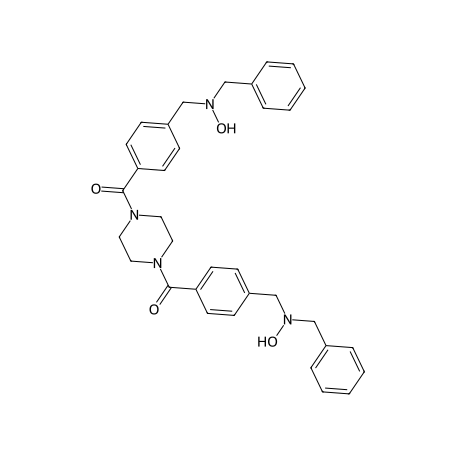 O=C(c1ccc(CN(O)Cc2ccccc2)cc1)N1CCN(C(=O)c2ccc(CN(O)Cc3ccccc3)cc2)CC1